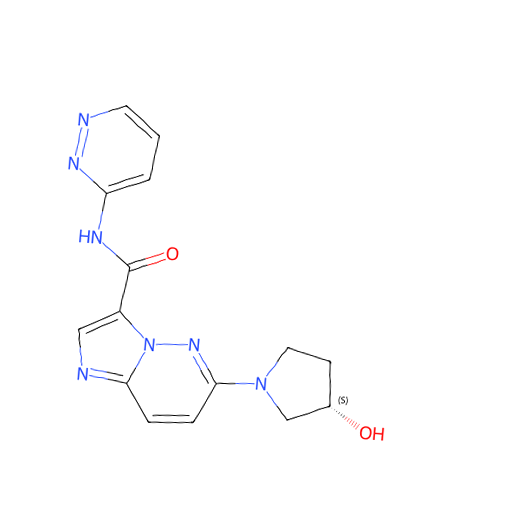 O=C(Nc1cccnn1)c1cnc2ccc(N3CC[C@H](O)C3)nn12